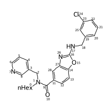 CCCCCCN(Cc1cccnc1)C(=O)c1ccc2oc(NCc3cccc(Cl)c3)nc2c1